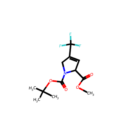 COC(=O)C1C=C(C(F)(F)F)CN1C(=O)OC(C)(C)C